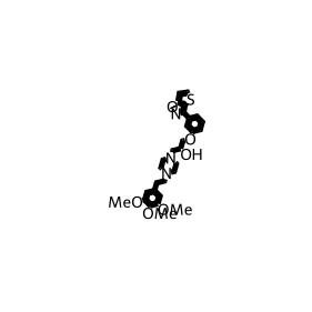 COc1cc(CCN2CCN(CC(O)COc3cccc(-c4noc5ccsc45)c3)CC2)cc(OC)c1OC